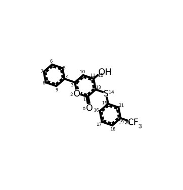 O=c1oc(-c2ccccc2)cc(O)c1Sc1cccc(C(F)(F)F)c1